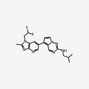 Cc1nc2ncc(-c3ccn4nc(NCC(C)C)ncc34)cc2n1CC(F)F